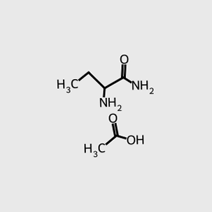 CC(=O)O.CCC(N)C(N)=O